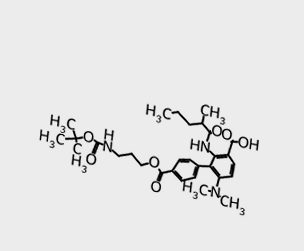 CCCC(C)C(=O)Nc1c(C(=O)O)ccc(N(C)C)c1-c1ccc(C(=O)OCCCNC(=O)OC(C)(C)C)cc1